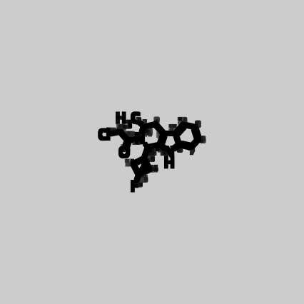 C[C@H]1Cc2c([nH]c3ccccc23)[C@H](C23CC(F)(C2)C3)N1C(=O)CCl